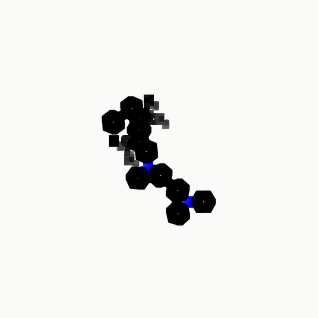 CC1(C)c2cc(-n3c4ccccc4c4cc(-c5ccc6c(c5)c5ccccc5n6-c5ccccc5)ccc43)ccc2-c2cc3c(cc21)-c1c(-c2ccccc2)cccc1C3(C)C